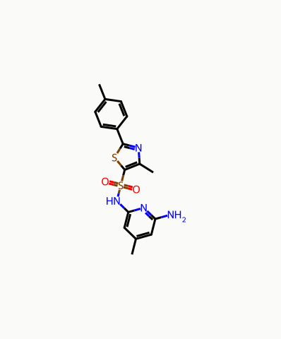 Cc1ccc(-c2nc(C)c(S(=O)(=O)Nc3cc(C)cc(N)n3)s2)cc1